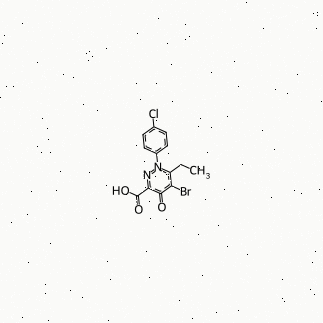 CCc1c(Br)c(=O)c(C(=O)O)nn1-c1ccc(Cl)cc1